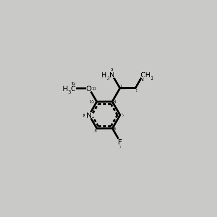 CCC(N)c1cc(F)cnc1OC